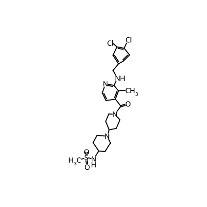 Cc1c(C(=O)N2CCC(N3CCC(NS(C)(=O)=O)CC3)CC2)ccnc1NCc1ccc(Cl)c(Cl)c1